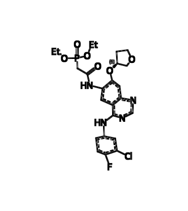 CCOP(=O)(CC(=O)Nc1cc2c(Nc3ccc(F)c(Cl)c3)ncnc2cc1O[C@H]1CCOC1)OCC